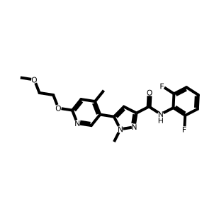 COCCOc1cc(C)c(-c2cc(C(=O)Nc3c(F)cccc3F)nn2C)cn1